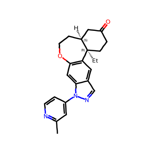 CC[C@@]12CCC(=O)C[C@@H]1CCOc1cc3c(cnn3-c3ccnc(C)c3)cc12